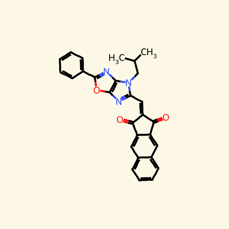 CC(C)Cn1c(C=C2C(=O)c3cc4ccccc4cc3C2=O)nc2oc(-c3ccccc3)nc21